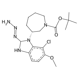 COc1ccc2c(c1Cl)N([C@@H]1CCCCN(C(=O)OC(C)(C)C)C1)C(N=NN)N2